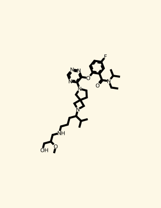 CCN(C(=O)c1cc(F)ccc1Oc1nncnc1N1CCC2(C1)CN(C(CCCNCC(CO)OC)C(C)C)C2)C(C)C